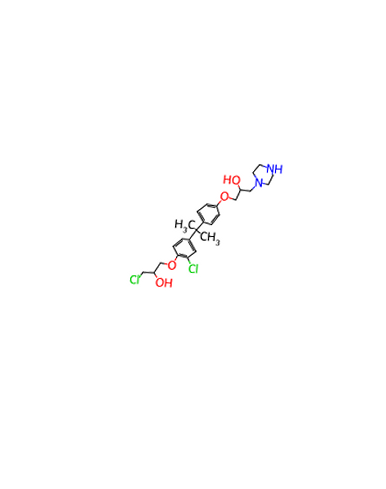 CC(C)(c1ccc(OCC(O)CN2CCNCC2)cc1)c1ccc(OCC(O)CCl)c(Cl)c1